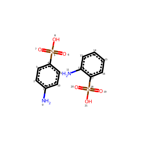 Nc1ccc(S(=O)(=O)O)cc1.Nc1ccccc1S(=O)(=O)O